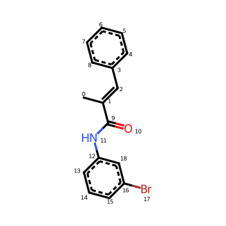 C/C(=C\c1ccccc1)C(=O)Nc1cccc(Br)c1